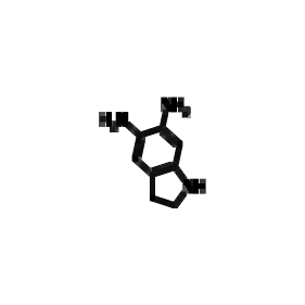 Nc1cc2c(cc1N)NCC2